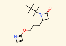 CC(C)(C)[Si](C)(C)N1C(=O)CC1CCCOC1=NC=C1